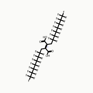 O=C(O)/C(CC(F)(F)C(F)(F)C(F)(F)C(F)(F)C(F)(F)C(F)(F)C(F)(F)F)=C(\CC(F)(F)C(F)(F)C(F)(F)C(F)(F)C(F)(F)C(F)(F)C(F)(F)F)C(=O)O